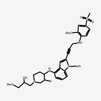 CCCn1c(C#CCNc2ccc(S(C)(=O)=O)cc2OC)cc2c(NC3CCN(CC(O)COC)CC3F)cccc21